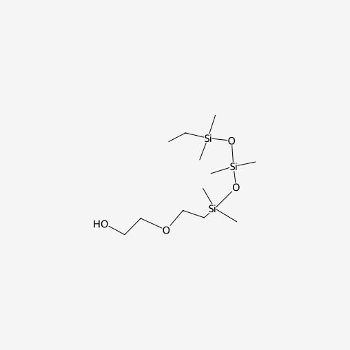 CC[Si](C)(C)O[Si](C)(C)O[Si](C)(C)CCOCCO